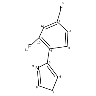 Fc1ccc(C2=CCC=N2)c(F)c1